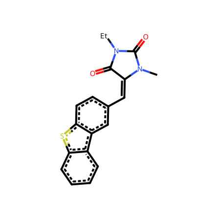 CCN1C(=O)/C(=C\c2ccc3sc4ccccc4c3c2)N(C)C1=O